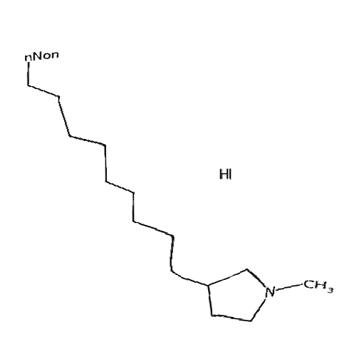 CCCCCCCCCCCCCCCCCCC1CCN(C)C1.I